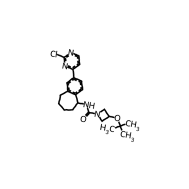 CC(C)(C)OC1CN(C(=O)NC2CCCCc3cc(-c4ccnc(Cl)n4)ccc32)C1